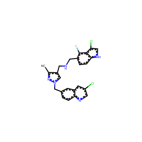 N#Cc1nn(Cc2ccc3ncc(Cl)cc3c2)cc1CNCc1ccc2[nH]cc(Cl)c2c1F